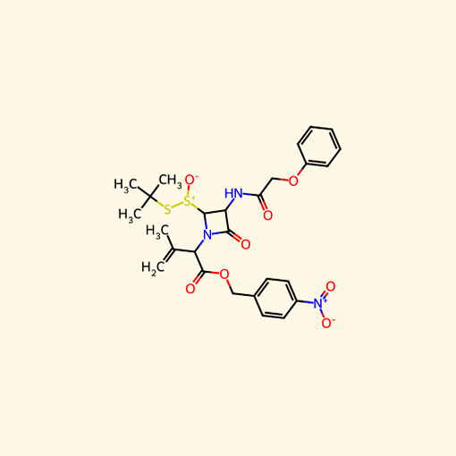 C=C(C)C(C(=O)OCc1ccc([N+](=O)[O-])cc1)N1C(=O)C(NC(=O)COc2ccccc2)C1[S+]([O-])SC(C)(C)C